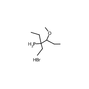 Br.CCC(OC)C(P)(CC)CC